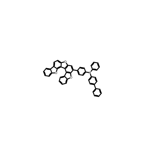 c1ccc(-c2ccc(N(c3ccccc3)c3ccc(-c4cc5oc6ccc7c8ccccc8oc7c6c5c5c4oc4ccccc45)cc3)cc2)cc1